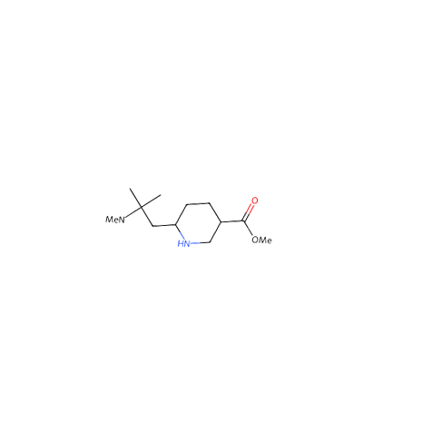 CNC(C)(C)CC1CCC(C(=O)OC)CN1